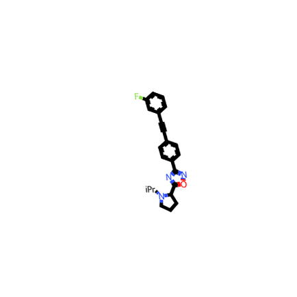 CC(C)N1CCCC1c1nc(-c2ccc(C#Cc3cccc(F)c3)cc2)no1